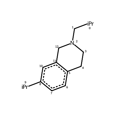 CC(C)CN1CCc2ccc(C(C)C)cc2C1